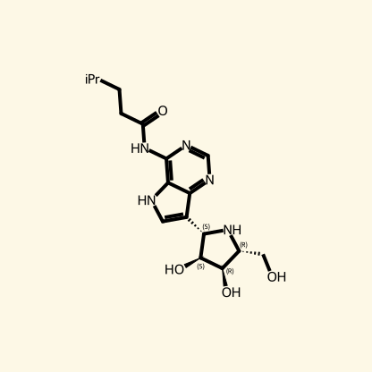 CC(C)CCC(=O)Nc1ncnc2c([C@@H]3N[C@H](CO)[C@@H](O)[C@H]3O)c[nH]c12